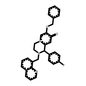 O=c1cc2n(cc1OCc1ccccc1)CCN(Cc1cccc3cccnc13)C2c1ccc(F)cc1